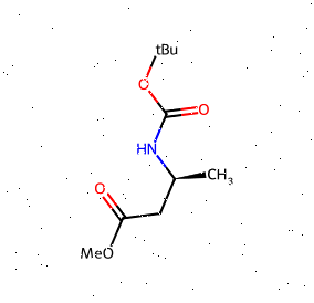 COC(=O)C[C@H](C)NC(=O)OC(C)(C)C